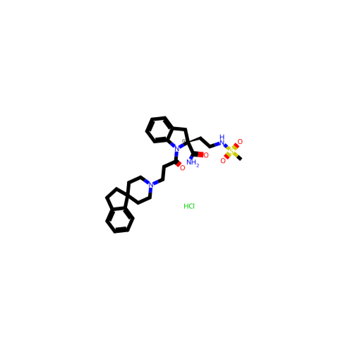 CS(=O)(=O)NCC[C@]1(C(N)=O)Cc2ccccc2N1C(=O)CCN1CCC2(CCc3ccccc32)CC1.Cl